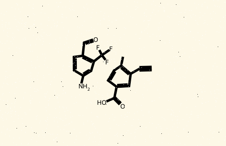 C#Cc1cc(C(=O)O)ccc1C.Nc1ccc(C=O)c(C(F)(F)F)c1